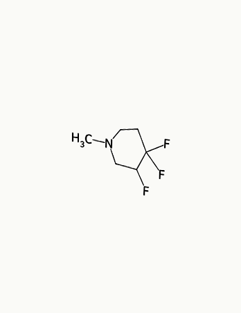 CN1CCC(F)(F)C(F)C1